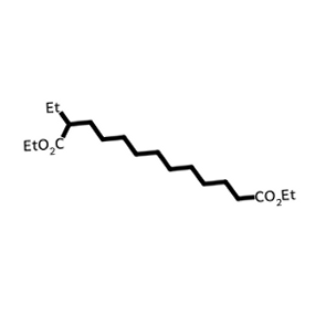 CCOC(=O)CCCCCCCCCCC(CC)C(=O)OCC